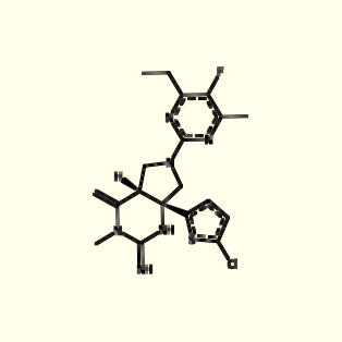 C=C1[C@@H]2CN(c3nc(C)c(F)c(CC)n3)C[C@]2(c2ccc(Cl)s2)NC(=N)N1C